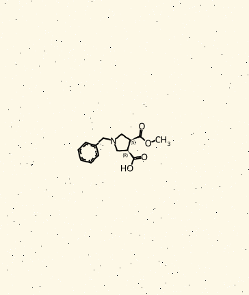 COC(=O)[C@@H]1CN(Cc2ccccc2)C[C@@H]1C(=O)O